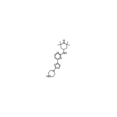 CC1(C)CC(Nc2nccc(-c3ccc(N4CCNCC4)s3)n2)CC(C)(C)N1